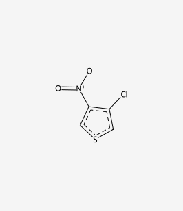 O=[N+]([O-])c1cscc1Cl